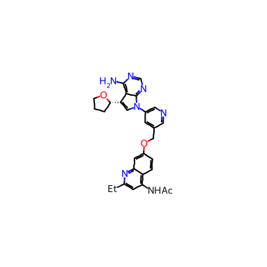 CCc1cc(NC(C)=O)c2ccc(OCc3cncc(-n4cc([C@@H]5CCCO5)c5c(N)ncnc54)c3)cc2n1